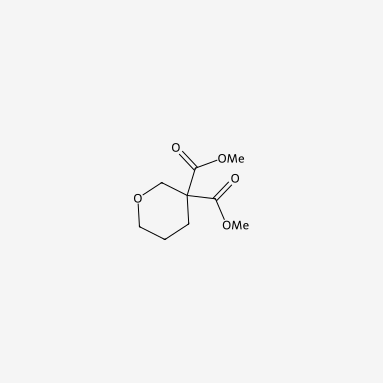 COC(=O)C1(C(=O)OC)CCCOC1